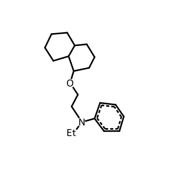 CCN(CCOC1CCCC2CCCCC21)c1ccccc1